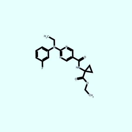 CCOC(=O)C1(NC(=O)c2cnc(N(CC)c3cccc(F)c3)nc2)CC1